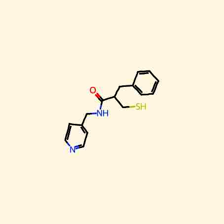 O=C(NCc1ccncc1)C(CS)Cc1ccccc1